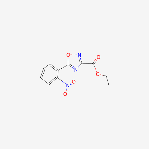 CCOC(=O)c1noc(-c2ccccc2[N+](=O)[O-])n1